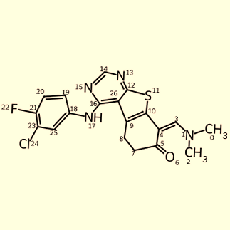 CN(C)C=C1C(=O)CCc2c1sc1ncnc(Nc3ccc(F)c(Cl)c3)c21